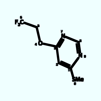 [CH2]Sc1cc(OCC(F)(F)F)ncn1